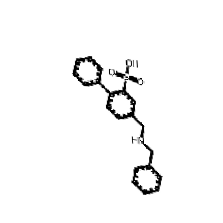 O=S(=O)(O)c1cc(CNCc2ccccc2)ccc1-c1ccccc1